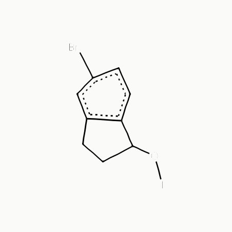 Brc1ccc2c(c1)CCC2OI